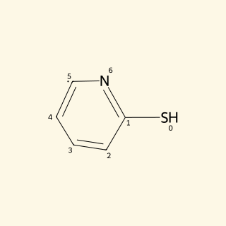 Sc1ccc[c]n1